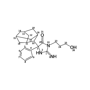 N=C1NC(c2ccccc2)(C2C3CC4CC(C3)CC2C4)C(=O)N1CCCO